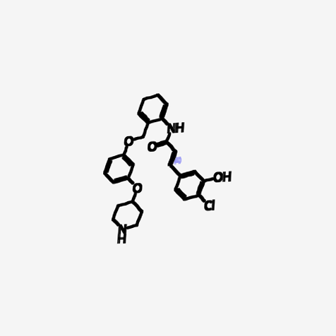 O=C(/C=C/c1ccc(Cl)c(O)c1)NC1=CCCC=C1COc1cccc(OC2CCNCC2)c1